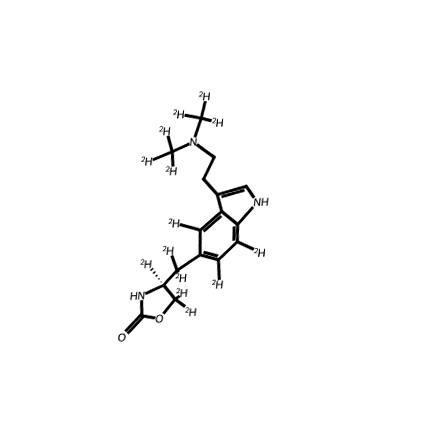 [2H]c1c(C([2H])([2H])[C@]2([2H])NC(=O)OC2([2H])[2H])c([2H])c2c(CCN(C([2H])([2H])[2H])C([2H])([2H])[2H])c[nH]c2c1[2H]